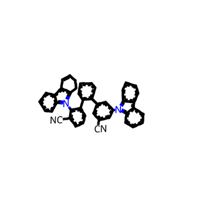 N#Cc1cc(-c2ccccc2-c2cccc(C#N)c2-n2c3c(c4ccccc42)C=CCC3)cc(-n2c3ccccc3c3ccccc32)c1